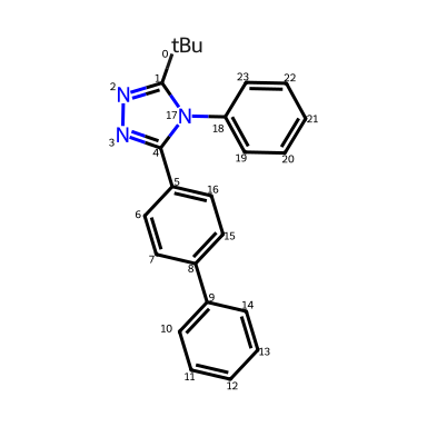 CC(C)(C)c1nnc(-c2ccc(-c3ccccc3)cc2)n1-c1ccccc1